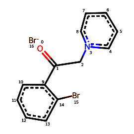 O=C(C[n+]1ccccc1)c1ccccc1Br.[Br-]